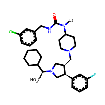 CCN(C(=O)NCc1cccc(Cl)c1)C1CCN(C[C@H]2CN([C@@H](C(=O)O)C3CCCCC3)C[C@@H]2c2cccc(F)c2)CC1